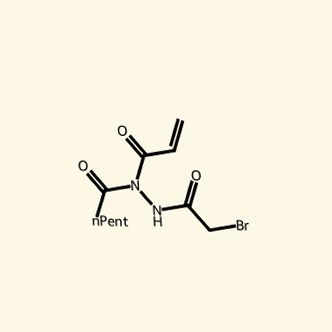 C=CC(=O)N(NC(=O)CBr)C(=O)CCCCC